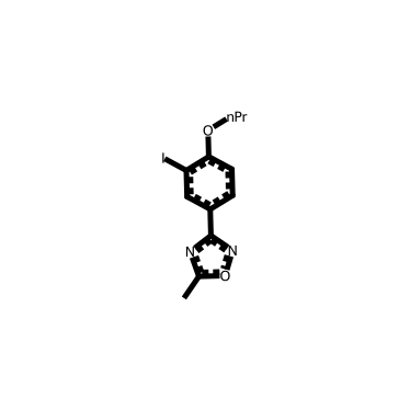 CCCOc1ccc(-c2noc(C)n2)cc1I